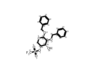 O=S(=O)(O[C@@H]1CO[C@@H](OCc2ccccc2)[C@@H](OCc2ccccc2)[C@@H]1O)C(F)(F)F